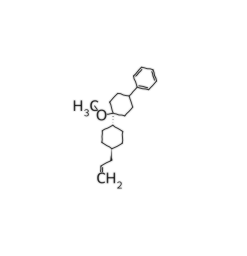 C=CC[C@H]1CC[C@H](C2(OC)CCC(c3ccccc3)CC2)CC1